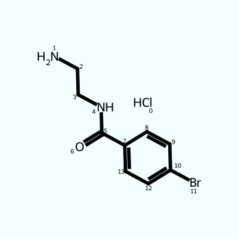 Cl.NCCNC(=O)c1ccc(Br)cc1